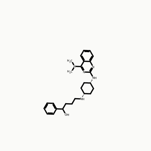 CN(C)c1nc(N[C@H]2CC[C@@H](NCCCC(O)c3ccccc3)CC2)nc2ccccc12